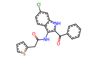 O=C(Cc1cccs1)Nc1c(C(=O)c2ccccc2)[nH]c2cc(Cl)ccc12